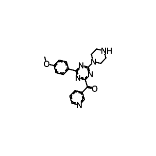 COc1ccc(-c2nc(C(=O)c3cccnc3)nc(N3CCNCC3)n2)cc1